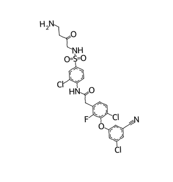 N#Cc1cc(Cl)cc(Oc2c(Cl)ccc(CC(=O)Nc3ccc(S(=O)(=O)NCC(=O)CCN)cc3Cl)c2F)c1